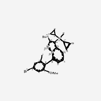 COc1cc(Br)cc(C)c1-c1cccc2c([N+](C)(C3CC3)C3CC3)c(SC)nn12